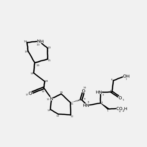 O=C(O)C[C@H](NC(=O)CO)NC(=O)[C@@H]1CCCN(C(=O)CCC2CCNCC2)C1